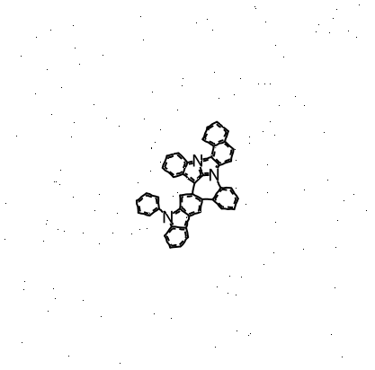 c1ccc(-n2c3ccccc3c3cc4c(cc32)-c2c3ccccc3n3c5c6ccccc6ccc5n(c23)-c2ccccc2-4)cc1